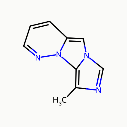 Cc1ncn2cc3cccnn3c12